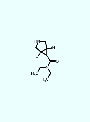 CCN(CC)C(=O)[C@H]1[C@@H]2CNC[C@@H]21